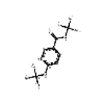 [2H]C([2H])([2H])OC(=O)c1ccc(OC([2H])([2H])[2H])nc1